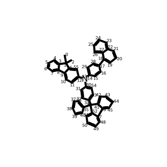 CC1(C)c2ccccc2-c2ccc(N(c3ccc(-c4cccc5ccccc45)cc3)c3ccc(C4(c5ccccc5)c5ccccc5-c5ccccc54)cc3)cc21